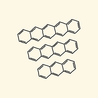 c1ccc2cc3cc4cc5ccccc5cc4cc3cc2c1.c1ccc2cc3cc4ccccc4cc3cc2c1.c1ccc2cc3ccccc3cc2c1